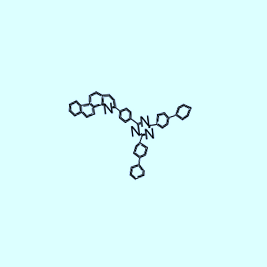 c1ccc(-c2ccc(-c3nc(-c4ccc(-c5ccccc5)cc4)nc(-c4ccc(-c5ccc6ccc7c8ccccc8ccc7c6n5)cc4)n3)cc2)cc1